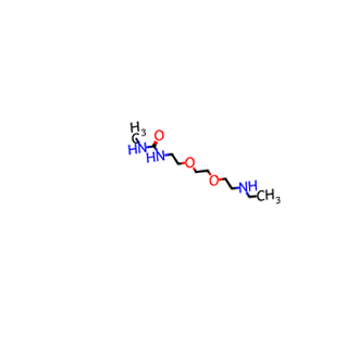 CCNCCOCCOCCNC(=O)NC